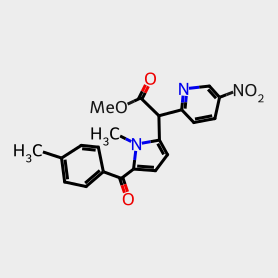 COC(=O)C(c1ccc([N+](=O)[O-])cn1)c1ccc(C(=O)c2ccc(C)cc2)n1C